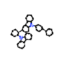 c1ccc(-c2ccc(-n3c4ccccc4c4cc(-c5ccccc5-n5c6ccccc6c6ccccc65)ccc43)cc2)cc1